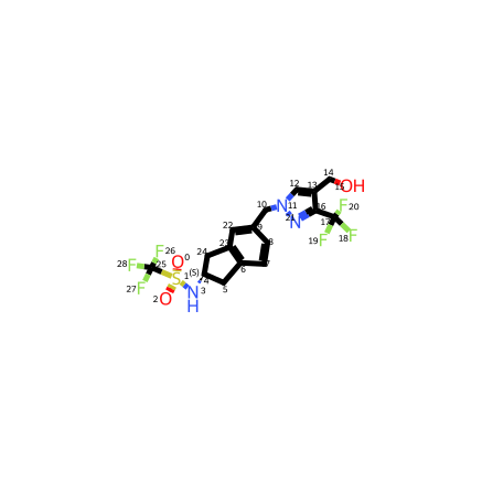 O=S(=O)(N[C@H]1Cc2ccc(Cn3cc(CO)c(C(F)(F)F)n3)cc2C1)C(F)(F)F